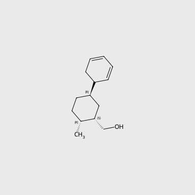 C[C@@H]1CC[C@@H](C2C=CC=CC2)C[C@@H]1CO